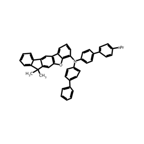 CCCc1ccc(-c2ccc(N(c3ccc(-c4ccccc4)cc3)c3cccc4c3oc3cc5c(cc34)-c3ccccc3C5(C)C)cc2)cc1